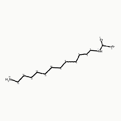 CCCC(CC)NCCCCCCCCCCCCN